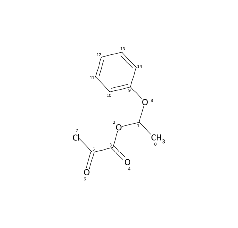 CC(OC(=O)C(=O)Cl)Oc1ccccc1